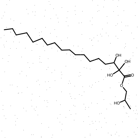 CCCCCCCCCCCCCCCC(O)C(O)(O)C(=O)OCC(C)O